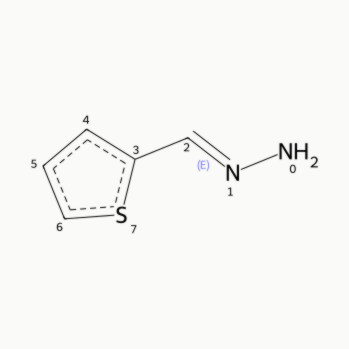 N/N=C/c1cccs1